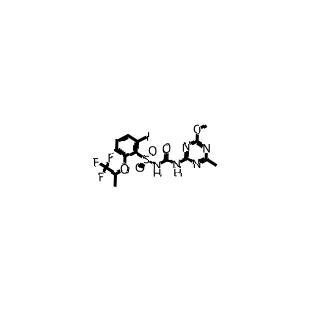 COc1nc(C)nc(NC(=O)NS(=O)(=O)c2c(I)cccc2OC(C)C(F)(F)F)n1